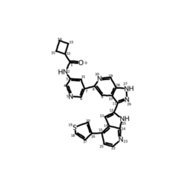 O=C(Nc1cncc(-c2cc3c(-c4cc5c(-c6ccsc6)ccnc5[nH]4)n[nH]c3cn2)c1)C1CCC1